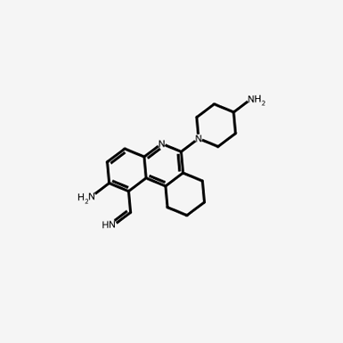 N=Cc1c(N)ccc2nc(N3CCC(N)CC3)c3c(c12)CCCC3